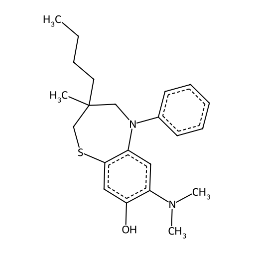 CCCCC1(C)CSc2cc(O)c(N(C)C)cc2N(c2ccccc2)C1